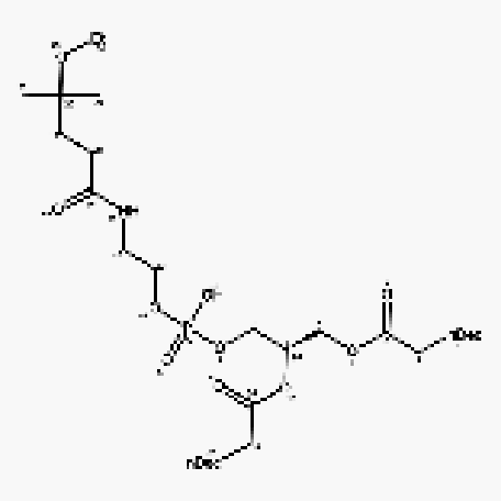 CCCCCCCCCCCC(=O)OC[C@H](COP(=O)(O)OCCNC(=O)CCC(C)(C)OCC)OC(=O)CCCCCCCCCCC